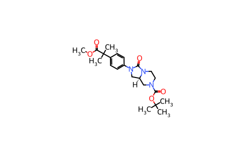 COC(=O)C(C)(C)c1ccc(N2C[C@@H]3CN(C(=O)OC(C)(C)C)CCN3C2=O)cc1